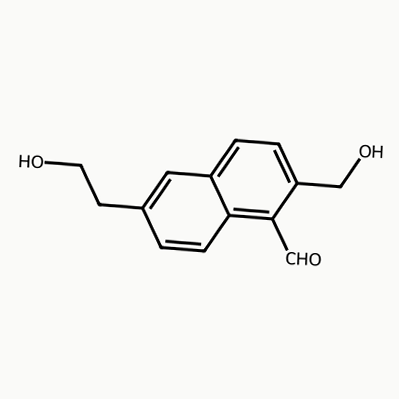 O=Cc1c(CO)ccc2cc(CCO)ccc12